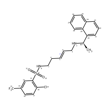 C[C@@H](NC/C=C/CCNS(=O)(=O)c1cc(C(F)(F)F)ccc1Cl)c1cccc2ccccc12